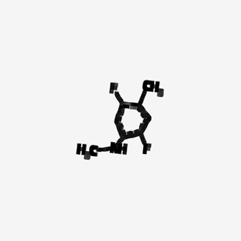 CNc1cc(F)c(C)cc1F